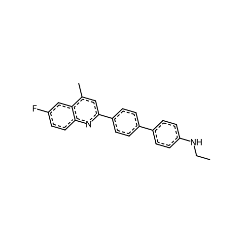 CCNc1ccc(-c2ccc(-c3cc(C)c4cc(F)ccc4n3)cc2)cc1